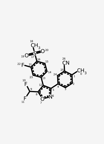 Cc1ccc(-c2noc(C(F)F)c2-c2ccc(S(C)(=O)=O)c(F)c2)cc1C#N